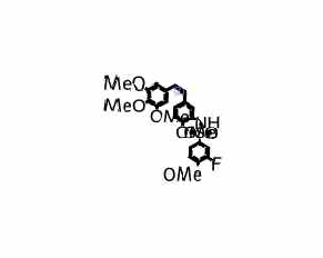 COc1ccc(S(=O)(=O)Nc2cc(/C=C\c3cc(OC)c(OC)c(OC)c3)ccc2OC)cc1F